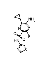 Nc1cc(F)c(S(=O)(=O)Nc2cscn2)nc1C1CC1